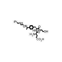 C/C(=N\OCCNCC(C)C)c1ccc(C[C@H](NC(=O)[C@H](N)CCC(=O)O)C(=O)NCCO)cc1